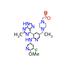 COc1ncc(Nc2ncc([C@@H](C)N3CCN(C[SH](=O)=O)CC3)cc2-c2nc(C)nc3[nH]cnc23)cc1F